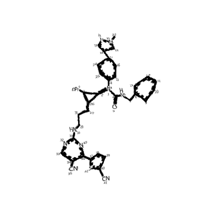 CCCC1/C(=[N+](/C(=O)NCc2ccccc2)c2ccc(-c3cnn(C)c3)cc2)C1CCCNc1ncc(C#N)c(-c2ccc(C#N)s2)n1